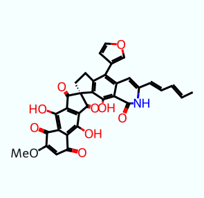 C/C=C/C=C/c1cc2c(-c3ccoc3)c3c(c(O)c2c(=O)[nH]1)[C@@]1(CC3)C(=O)c2c(O)c3c(c(O)c2C1=O)C(=O)C(OC)=CC3=O